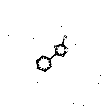 Brc1nc(-c2cc[c]cc2)cs1